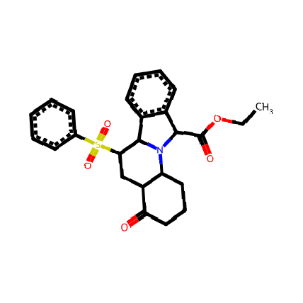 CCOC(=O)C1c2ccccc2C2C(S(=O)(=O)c3ccccc3)CC3C(=O)CCCC3N12